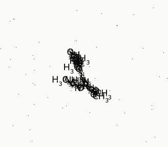 CNCc1ccc(-c2cc(-c3nc(-c4ccc(S(=O)(=O)C(C)C)cc4)cnc3NCCCCCO[C@H]3CC[C@H]4[C@@H]5CC[C@H]6CC(=O)CC[C@]6(C)[C@H]5CC[C@]34C)on2)cc1